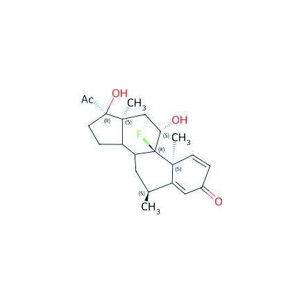 CC(=O)[C@@]1(O)CCC2C3C[C@H](C)C4=CC(=O)C=C[C@]4(C)[C@@]3(F)[C@@H](O)C[C@@]21C